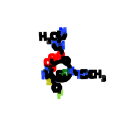 Cc1cnccc1-c1nccc(COc2ccc3cc2CC(C(=O)O)Oc2ncnc4sc(-c5ccc(F)cc5)c(c24)-c2ccc(c(Cl)c2C)CN(CCN2CCN(C)CC2)C3)n1